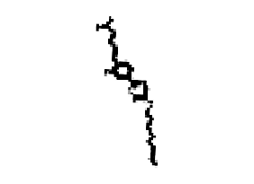 CCCCCCCCOc1cnc(-c2ccc(CCCCC(C)F)c(F)c2)nc1